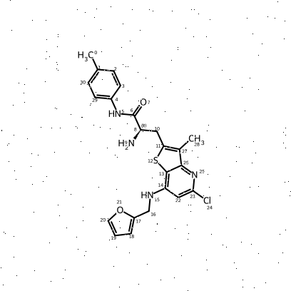 Cc1ccc(NC(=O)[C@H](N)Cc2sc3c(NCc4ccco4)cc(Cl)nc3c2C)cc1